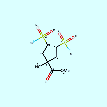 COC(=O)C(C#N)(CCS(=O)(=O)F)CCS(=O)(=O)F